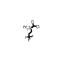 FC(F)(F)CC[SiH2]C(Cl)Cl